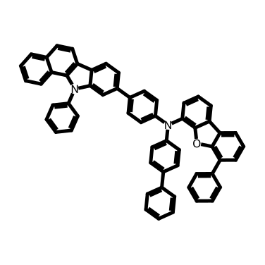 c1ccc(-c2ccc(N(c3ccc(-c4ccc5c6ccc7ccccc7c6n(-c6ccccc6)c5c4)cc3)c3cccc4c3oc3c(-c5ccccc5)cccc34)cc2)cc1